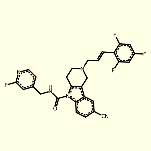 N#Cc1ccc2c(c1)c1c(n2C(=O)NCc2ccnc(F)c2)CCN(CC=Cc2c(F)cc(F)cc2F)C1